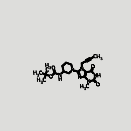 CC#CCn1c(N2CCCC(NC(=O)OC(C)(C)C)C2)nc2c1c(=O)[nH]c(=O)n2C